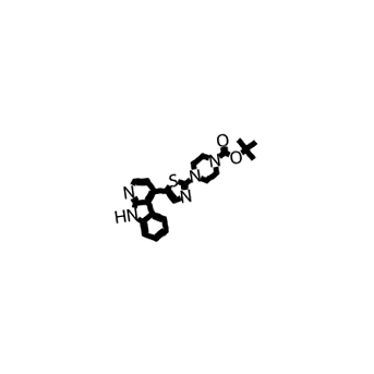 CC(C)(C)OC(=O)N1CCN(c2ncc(-c3ccnc4[nH]c5ccccc5c34)s2)CC1